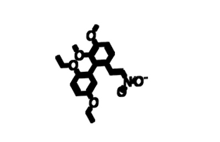 CCOc1ccc(OCC)c(-c2c(C=C[N+](=O)[O-])ccc(OC)c2OC)c1